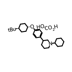 CC(C)(C)[C@H]1CC[C@H](Oc2ccc(C3CCCN(C4CCCCC4)C3)cc2)CC1.O=C(O)O